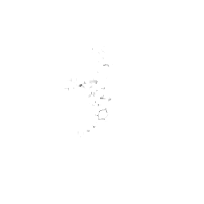 CCOC(=O)CCCC[C@H](NC(=O)OC(C)(C)C)C(=O)Nc1cccc(OCC)c1